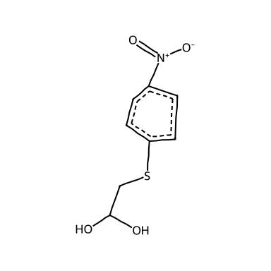 O=[N+]([O-])c1ccc(SCC(O)O)cc1